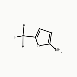 Nc1[c]cc(C(F)(F)F)o1